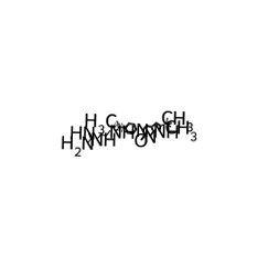 CC[C@H](NCCCNC(=N)N)c1ccc(-n2cc3cc(C(C)C)[nH]c3nc2=O)cc1